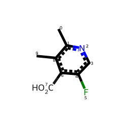 Cc1ncc(F)c(C(=O)O)c1C